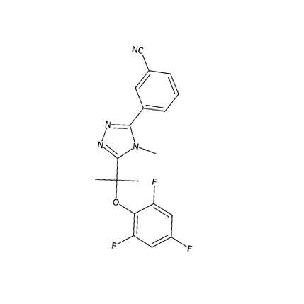 Cn1c(-c2cccc(C#N)c2)nnc1C(C)(C)Oc1c(F)cc(F)cc1F